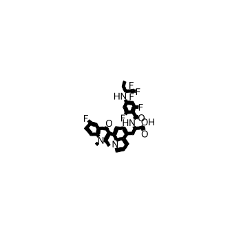 CCC(Nc1cc(F)c(C(=O)NC(Cc2ccc(-c3c(C)n(C)c4ccc(F)cc4c3=O)c3ncccc23)C(=O)O)c(F)c1)C(F)(F)F